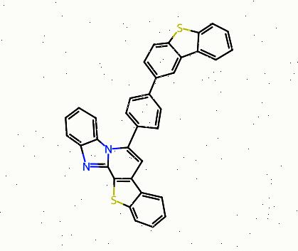 c1ccc2c(c1)nc1c3sc4ccccc4c3cc(-c3ccc(-c4ccc5sc6ccccc6c5c4)cc3)n21